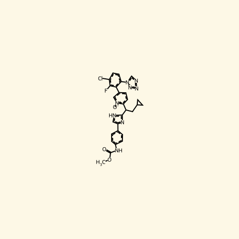 COC(=O)Nc1ccc(-c2c[nH]c(C(CC3CC3)c3ccc(-c4c(-n5cnnn5)ccc(Cl)c4F)c[n+]3[O-])n2)cc1